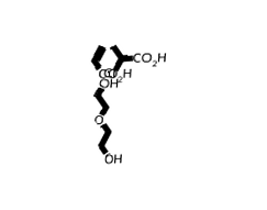 C=CC(=O)O.CC(Cl)C(=O)O.OCCOCCO